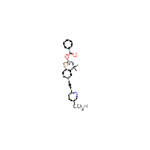 CC1(C)C[C@@H](OC(=O)c2ccccc2)Sc2ccc(C#Cc3ccc(C(=O)O)cn3)cc21